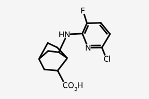 O=C(O)C1CC2CCC1C(Nc1nc(Cl)ccc1F)C2